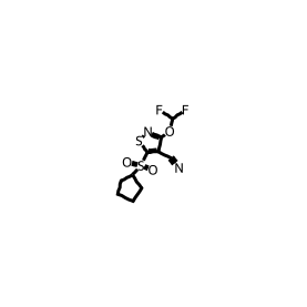 N#Cc1c(OC(F)F)nsc1S(=O)(=O)C1CCCC1